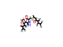 CCOC(=O)C(CSC(C)CC(=O)/C(C)=C(\C)C(C)C)NC(C)CC(=O)/C(C)=C(\C)C(C)C